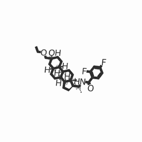 CCOC[C@@]1(O)CC[C@H]2[C@H](CC[C@@H]3[C@@H]2CC[C@]2(C)[C@@H]([C@@H](C)NC(=O)c4ccc(F)cc4F)CC[C@@H]32)C1